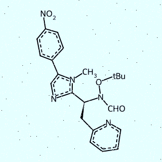 Cn1c(-c2ccc([N+](=O)[O-])cc2)cnc1[C@H](Cc1ccccn1)N(C=O)OC(C)(C)C